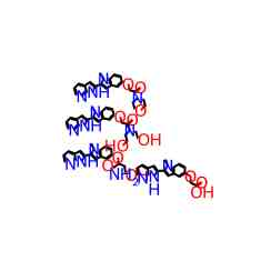 Cn1c(-c2cc3cccnc3[nH]2)cc2cc(OC(CCO)C(N)=O)ccc21.Cn1c(-c2cc3cccnc3[nH]2)cc2cc(OCC(=O)N(CCO)CCO)ccc21.Cn1c(-c2cc3cccnc3[nH]2)cc2cc(OCC(=O)N3CCOCC3)ccc21.Cn1c(-c2cc3cccnc3[nH]2)cc2cc(OCC(=O)O)ccc21